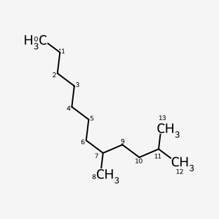 C[CH]CCCCCC(C)CCC(C)C